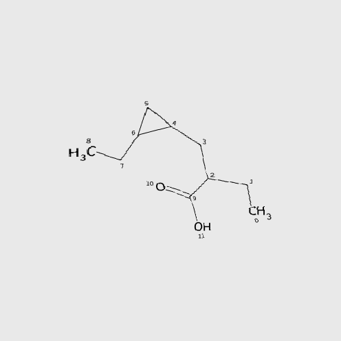 CCC(CC1CC1CC)C(=O)O